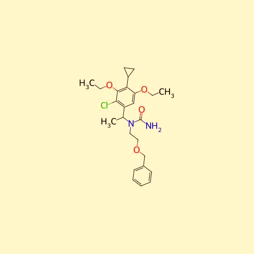 CCOc1cc(C(C)N(CCOCc2ccccc2)C(N)=O)c(Cl)c(OCC)c1C1CC1